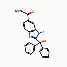 CCn1c(C(O)(c2ccccc2)c2ccccc2)nc2ccc(C(=O)NC)cc21